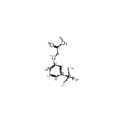 COC(=O)COc1cc(C(F)(F)F)ccn1